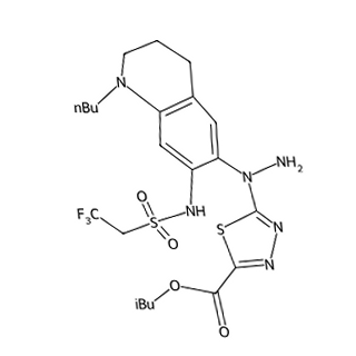 CCCCN1CCCc2cc(N(N)c3nnc(C(=O)OC(C)CC)s3)c(NS(=O)(=O)CC(F)(F)F)cc21